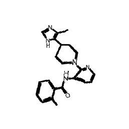 Cc1ccccc1C(=O)Nc1cccnc1N1CCC(c2[nH]cnc2C)CC1